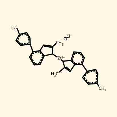 CC1=Cc2c(-c3ccc(C)cc3)cccc2[CH]1[Zr+2][CH]1C(C)=Cc2c(-c3ccc(C)cc3)cccc21.[Cl-].[Cl-]